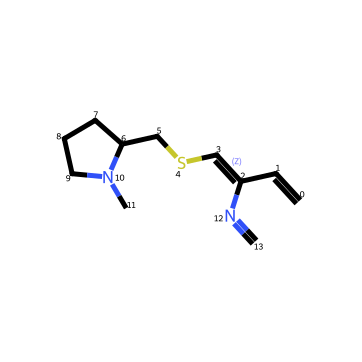 C=C/C(=C/SCC1CCCN1C)N=C